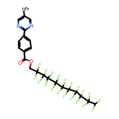 CCCc1cnc(-c2ccc(C(=O)OCC(F)(F)C(F)(F)C(F)(F)C(F)(F)C(F)(F)C(F)(F)C(F)(F)C(F)(F)C(F)(F)C(F)F)cc2)nc1